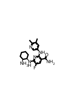 Cc1cc(Nc2nc(N[C@@H]3CCCC[C@@H]3N)c(F)cc2C(N)=O)cnc1C